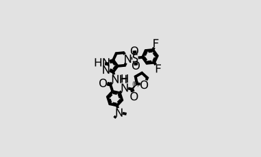 CN(C)c1ccc(C(=O)Nc2n[nH]c3c2CN(S(=O)(=O)c2cc(F)cc(F)c2)CC3)c(NC(=O)[C@H]2CCCO2)c1